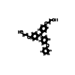 OCCOc1ccc(N(c2ccc(OCCO)cc2)c2ccc(Oc3ccccc3)cc2)cc1